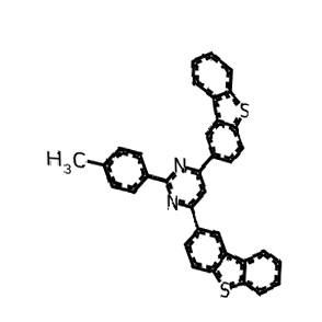 Cc1ccc(-c2nc(-c3ccc4sc5ccccc5c4c3)cc(-c3ccc4sc5ccccc5c4c3)n2)cc1